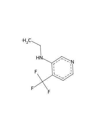 [CH2]CNc1cnccc1C(F)(F)F